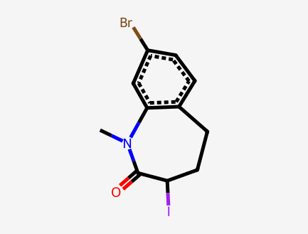 CN1C(=O)C(I)CCc2ccc(Br)cc21